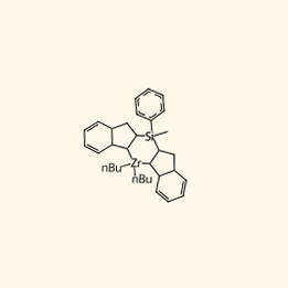 CCC[CH2][Zr]1([CH2]CCC)[CH]2C3C=CC=CC3CC2[Si](C)(c2ccccc2)C2CC3C=CC=CC3[CH]21